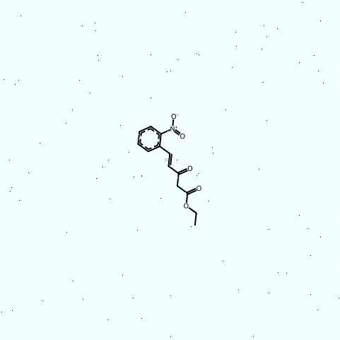 CCOC(=O)CC(=O)/C=C/c1ccccc1[N+](=O)[O-]